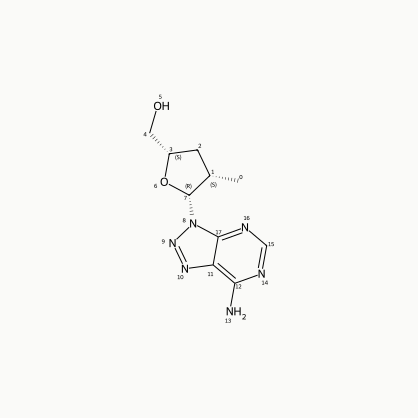 C[C@H]1C[C@@H](CO)O[C@H]1n1nnc2c(N)ncnc21